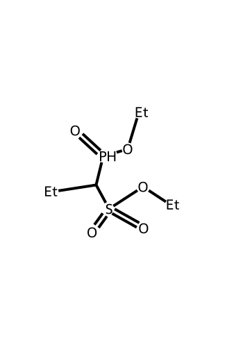 CCO[PH](=O)C(CC)S(=O)(=O)OCC